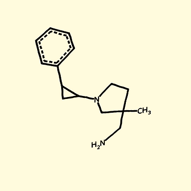 CC1(CN)CCN(C2CC2c2ccccc2)C1